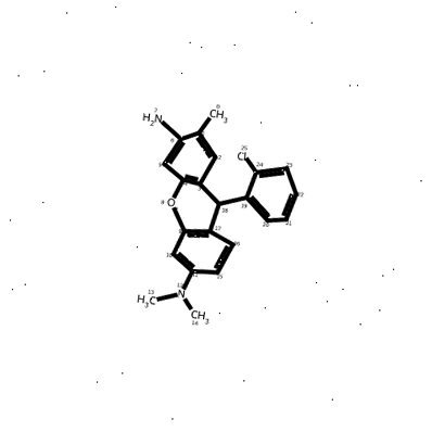 Cc1cc2c(cc1N)Oc1cc(N(C)C)ccc1C2c1ccccc1Cl